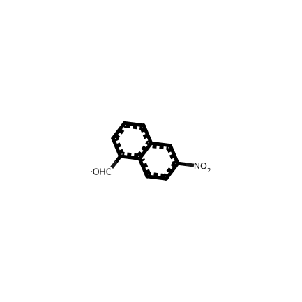 O=[C]c1cccc2cc([N+](=O)[O-])ccc12